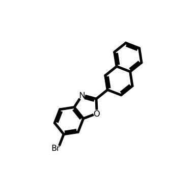 Brc1ccc2nc(-c3ccc4ccccc4c3)oc2c1